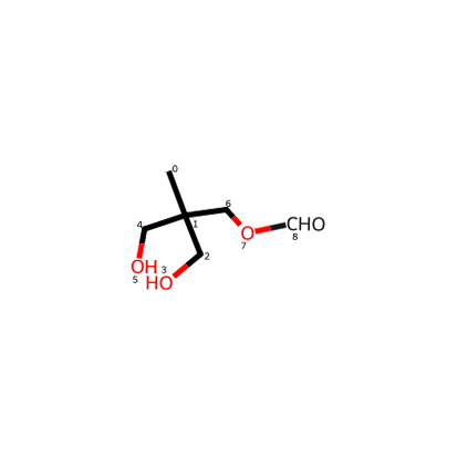 CC(CO)(CO)COC=O